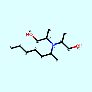 CCCCCC(C)N(C(C)CO)C(C)CO